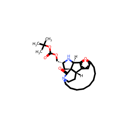 CC(C)(C)OC(=O)OC[C@H]1C[C@@]23C(=O)N4CCCCCCCCc5cc(c(o5)[C@@H]2N1)[C@@H]3CC4